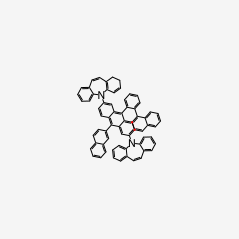 C1=CC2=C(C=Cc3ccccc3N2c2ccc3c(-c4ccc5ccccc5c4)c4cc(N5c6ccccc6C=Cc6ccccc65)ccc4c(-c4ccccc4-c4cccc5ccccc45)c3c2)CC1